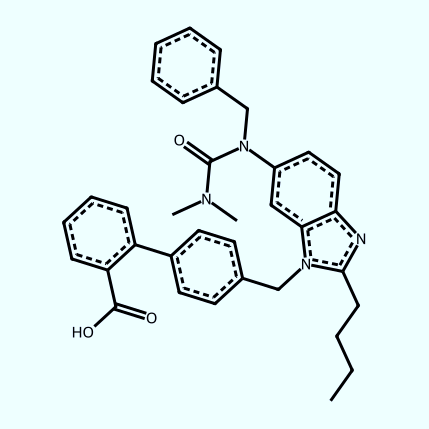 CCCCc1nc2ccc(N(Cc3ccccc3)C(=O)N(C)C)cc2n1Cc1ccc(-c2ccccc2C(=O)O)cc1